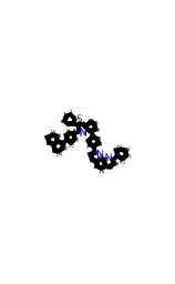 C1=CCC2Sc3c(c(-c4ccc(-c5cccc6ccccc56)cc4)nc4c(-c5ccc(-c6ccc7ccc8ccc(-c9ccccc9)nc8c7n6)cc5)cccc34)C2=C1